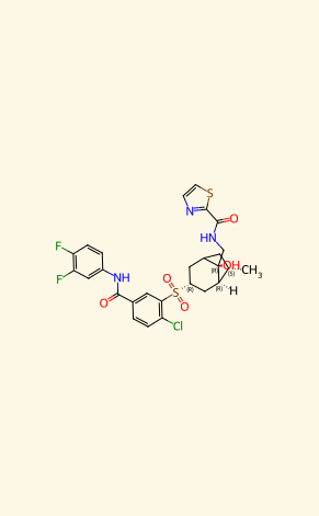 C[C@H]1CC2C[C@@H](S(=O)(=O)c3cc(C(=O)Nc4ccc(F)c(F)c4)ccc3Cl)C[C@H]1[C@@]2(O)CNC(=O)c1nccs1